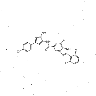 CCCn1nc(-c2ccc(Cl)cc2)cc1NC(=O)c1cc(Cl)c2[nH]c(-c3c(F)cccc3Cl)nc2c1